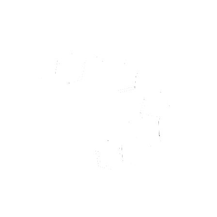 CCC(CCc1ccc(C)cc1)NC(=O)c1cnn2c1NC(c1ccccc1F)CC2(C)C